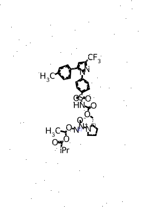 Cc1ccc(-c2cc(C(F)(F)F)nn2-c2ccc(S(=O)(=O)NC(=O)OC[C@@H]3CCCN3/[N+]([O-])=N/OC(C)OC(=O)C(C)C)cc2)cc1